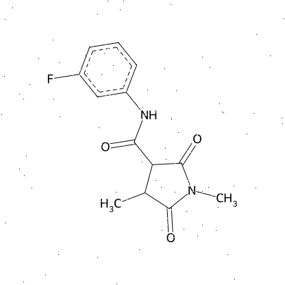 CC1C(=O)N(C)C(=O)C1C(=O)Nc1cccc(F)c1